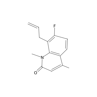 C=CCc1c(F)ccc2c(C)cc(=O)n(C)c12